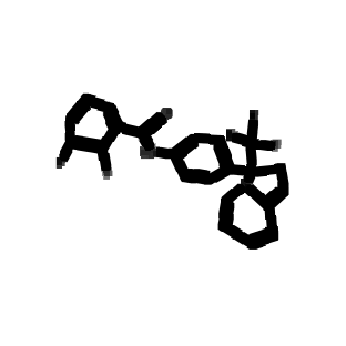 O=C(Nc1ccc(C2(C(F)(F)F)CC=C3C=CC=CN32)cc1)c1cccc(F)c1F